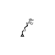 CC(C)(C)[S+]([O-])N=CCOCC1CC1